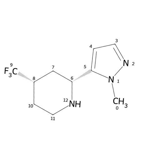 Cn1nccc1[C@H]1C[C@@H](C(F)(F)F)CCN1